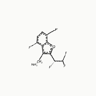 Cc1c([C@@H](F)C(F)F)oc2c(F)ccc(F)c12.N